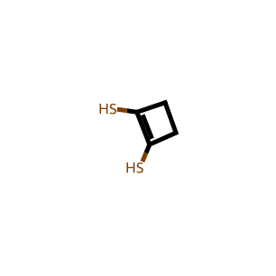 SC1=C(S)CC1